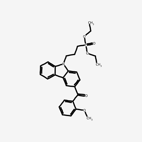 CCOP(=O)(CCCn1c2ccccc2c2cc(C(=O)c3ccccc3OC)ccc21)OCC